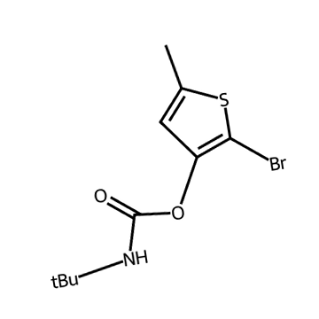 Cc1cc(OC(=O)NC(C)(C)C)c(Br)s1